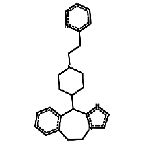 c1ccc(CCN2CCC(C3c4ccccc4CCn4ccnc43)CC2)nc1